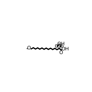 COCCCCCCCCCCCCCC(C(=O)O)S(=O)(=O)O